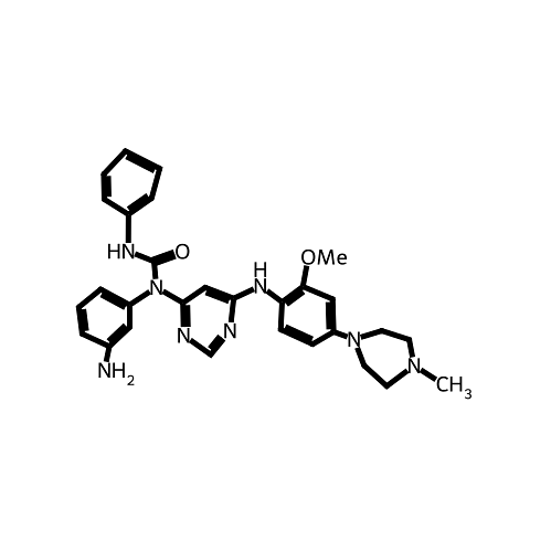 COc1cc(N2CCN(C)CC2)ccc1Nc1cc(N(C(=O)Nc2ccccc2)c2cccc(N)c2)ncn1